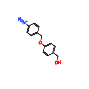 N#[N+]c1ccc(COc2ccc(CO)cc2)cc1